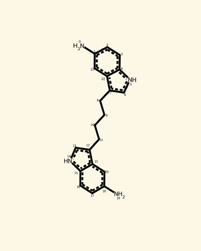 Nc1ccc2[nH]cc(CCCCc3c[nH]c4ccc(N)cc34)c2c1